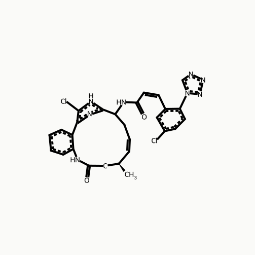 C[C@@H]1/C=C\CC(NC(=O)/C=C\c2cc(Cl)ccc2-n2cnnn2)c2nc(c(Cl)[nH]2)-c2ccccc2NC(=O)C1